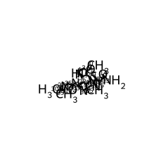 COc1ccncc1-c1sc2c(C(N)=O)cnn2c1-c1cc(NC(=O)CN2CC(C)(C)C2)cnc1C